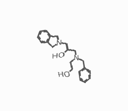 OCCN(Cc1ccccc1)CC(O)CN1Cc2ccccc2C1